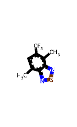 Cc1cc(C(F)(F)F)c(C)c2nsnc12